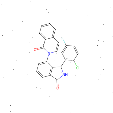 O=C1NC(c2cc(F)ccc2Cl)c2c1cccc2-n1ccc2ccccc2c1=O